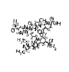 CCn1nc(C)cc1C(=O)Nc1nc2cc(C(N)=O)cnc2n1CC=CCn1c2nc(-c3cc(C)nn3CC)ncc2c2cc(C(N)=O)cc(OCCC3CCN(C(=O)O)CC3)c21